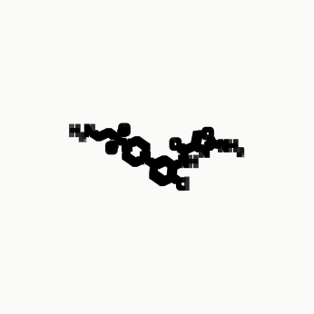 NCCS(=O)(=O)N1CCN(c2ccc(Cl)c(NC(=O)c3coc(N)n3)c2)CC1